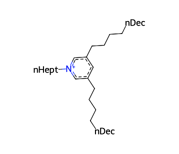 CCCCCCCCCCCCCCc1cc(CCCCCCCCCCCCCC)c[n+](CCCCCCC)c1